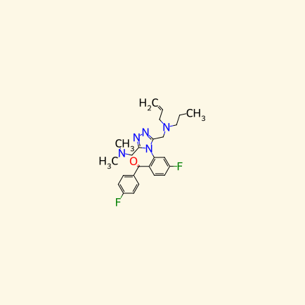 C=CCN(CCC)Cc1nnc(CN(C)C)n1-c1cc(F)ccc1C(=O)c1ccc(F)cc1